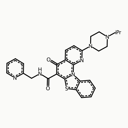 CC(C)N1CCN(c2ccc3c(=O)c(C(=O)NCc4ccccn4)c4sc5ccccc5n4c3n2)CC1